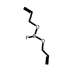 C=CCOB(F)OCC=C